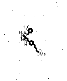 COC(=O)CCCCc1ccc(-c2cc3c(N(C)Cc4cccc(C)c4)ncnc3[nH]2)cc1